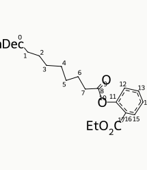 CCCCCCCCCCCCCCCCCC(=O)Oc1ccccc1C(=O)OCC